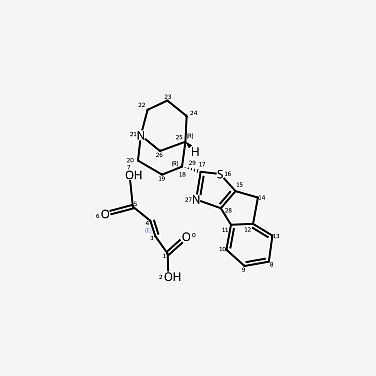 O=C(O)/C=C/C(=O)O.c1ccc2c(c1)Cc1sc([C@@H]3CCN4CCC[C@H]3C4)nc1-2